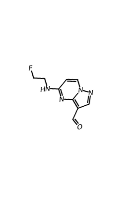 O=Cc1cnn2ccc(NCCF)nc12